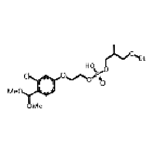 CCOCC(C)COP(=O)(O)OCCOc1ccc(C(OC)OC)c(Cl)c1